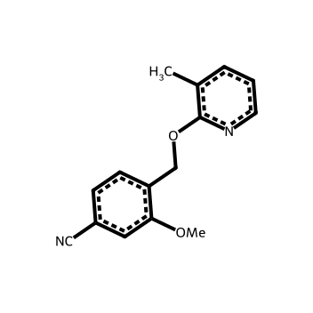 COc1cc(C#N)ccc1COc1ncccc1C